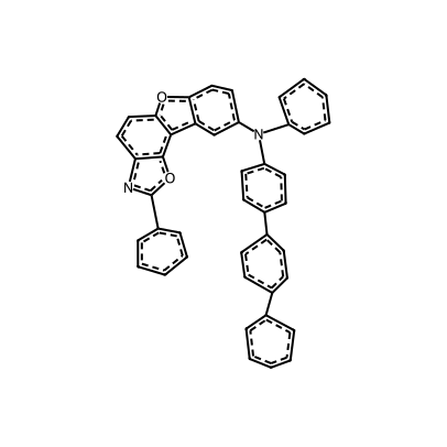 c1ccc(-c2ccc(-c3ccc(N(c4ccccc4)c4ccc5oc6ccc7nc(-c8ccccc8)oc7c6c5c4)cc3)cc2)cc1